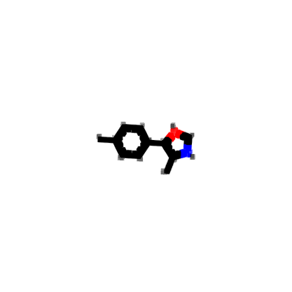 Cc1ccc(-c2ocnc2C)cc1